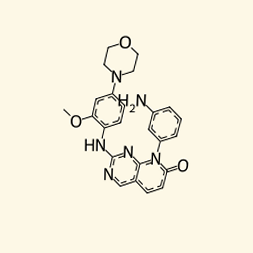 COc1cc(N2CCOCC2)ccc1Nc1ncc2ccc(=O)n(-c3cccc(N)c3)c2n1